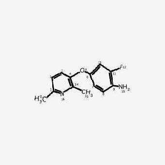 Cc1ccc(Oc2ccc(N)c(F)c2)c(C)n1